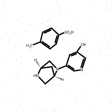 Cc1ccc(S(=O)(=O)O)cc1.N#Cc1cncc(N2C[C@H]3C[C@@H]2CN3)c1